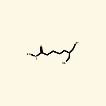 CC(C)CC(CO)CCCCC(=O)NC(C)C